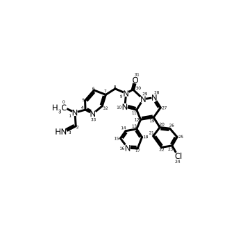 CN(C=N)c1ccc(Cn2nc3c(-c4ccncc4)c(-c4ccc(Cl)cc4)cnn3c2=O)cn1